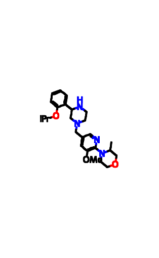 COc1cc(CN2CCNC(c3ccccc3OC(C)C)C2)cnc1N1CCOCC1C